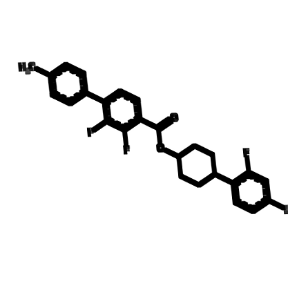 CCc1ccc(C2CCC(OC(=O)c3ccc(-c4ccc(C)cc4)c(F)c3F)CC2)c(F)c1